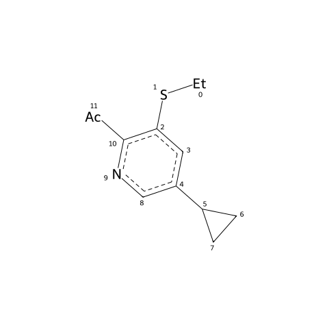 CCSc1cc(C2CC2)cnc1C(C)=O